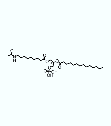 CCCCCCCCCCCCCC(=O)O[C@H](COC(=O)CCCCCCCCNC(C)=O)COP(=O)(O)O